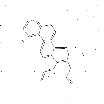 C=CCC1=C(CC=C)c2ccc3c(c2=CC1)=CCc1ccccc1-3